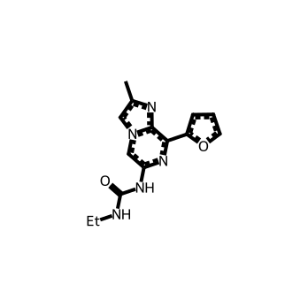 CCNC(=O)Nc1cn2cc(C)nc2c(-c2ccco2)n1